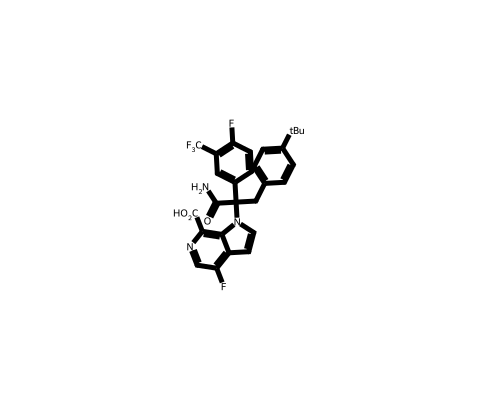 CC(C)(C)c1ccc(CC(C(N)=O)(c2ccc(F)c(C(F)(F)F)c2)n2ccc3c(F)cnc(C(=O)O)c32)cc1